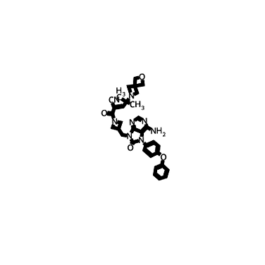 CC(C)(C=C(C#N)C(=O)N1CC(Cn2c(=O)n(-c3ccc(Oc4ccccc4)cc3)c3c(N)ncnc32)C1)N1CC2(COC2)C1